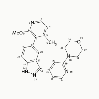 COc1ncnc(C)c1-c1ccc2[nH]nc(-c3ccnc(N4CCOCC4)c3)c2c1